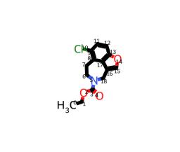 CCOC(=O)N1CCc2c(Cl)ccc3occ(c23)C1